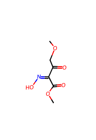 COCC(=O)C(=NO)C(=O)OC